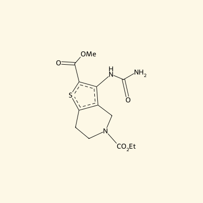 CCOC(=O)N1CCc2sc(C(=O)OC)c(NC(N)=O)c2C1